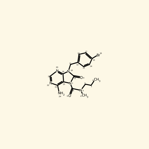 CCCN(C)C(=O)n1c(=O)n(Cc2ccc(Br)cc2)c2ncnc(N)c21